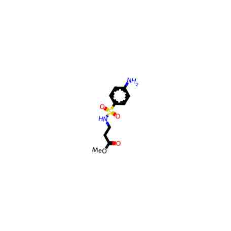 COC(=O)CCNS(=O)(=O)c1ccc(N)cc1